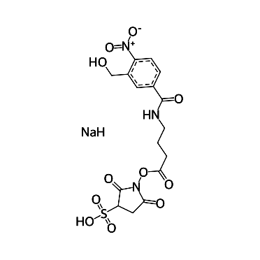 O=C(CCCNC(=O)c1ccc([N+](=O)[O-])c(CO)c1)ON1C(=O)CC(S(=O)(=O)O)C1=O.[NaH]